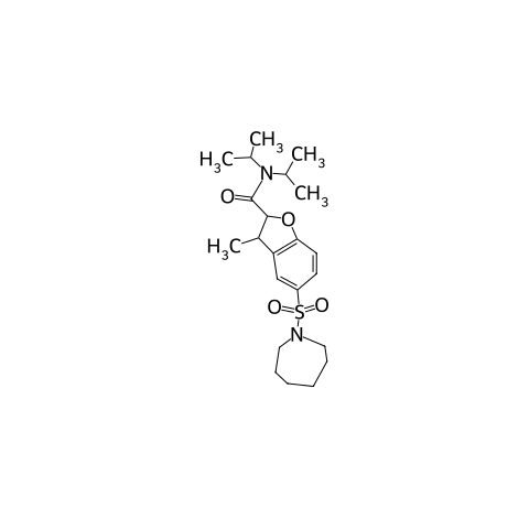 CC1c2cc(S(=O)(=O)N3CCCCCC3)ccc2OC1C(=O)N(C(C)C)C(C)C